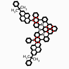 CC(C)(C1=CC2=CC=C3C(N(c4ccccc4)c4ccc5c(c4)N(c4c(-c6ccccc6)cccc4-c4ccccc4)c4cc(-c6ccccc6)cc6c4B5c4ccc(N(C5=CC=C7C=CC8=CC(C(C)(C)c9ccccc9)=CC9=CC=C5C7C98)c5ccccc5)cc4N6c4c(-c5ccccc5)cccc4-c4ccccc4)=CC=C4C=CC(=C1)C2C43)c1ccccc1